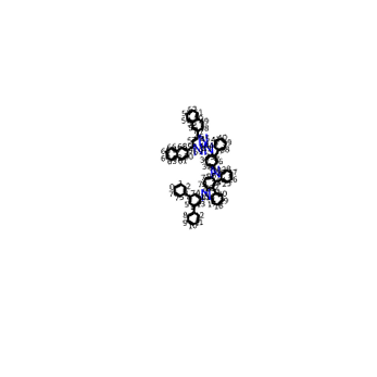 c1ccc(-c2cc(-c3ccccc3)cc(-n3c4ccccc4c4c5c6ccccc6n(-c6ccc7c(c6)c6ccccc6n7-c6nc(-c7ccc8ccccc8c7)cc(-c7ccc8ccccc8c7)n6)c5ccc43)c2)cc1